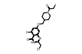 O=C(CI)N1CCC(COc2cc(F)c3c(=O)[nH]c(CCl)nc3c2)CC1